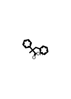 CC(Cc1ccccc1)(C(=O)O)c1ccccc1